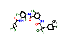 O=C(Nc1ccc(F)c(NC(=O)C2CC(F)(F)C2)c1F)c1cc(NC(=O)[C@H]2[C@H](c3ccc(F)c(C(F)(F)F)c3)C2(Cl)Cl)ccc1Cl